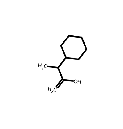 C=C(O)C(C)C1CCCCC1